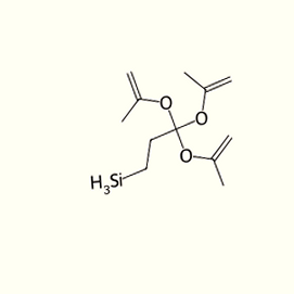 C=C(C)OC(CC[SiH3])(OC(=C)C)OC(=C)C